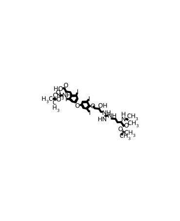 CC(C)NC(CCCNC(=N)NCC(O)COc1c(I)cc(Oc2cc(I)c(CC(NC(=O)OC(C)(C)C)C(=O)O)c(I)c2)cc1I)C(=O)OI(C)C